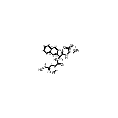 CC(C)C[C@H](CC(=O)NO)C(=O)N[C@](C)(C(=O)N[C@@H](CC(C)C)C(N)=O)c1ccc2ccccc2c1